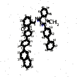 C=N/C(=N\C(=N/Cc1cccc2oc3cc(-c4ccc(-c5ccc6ccccc6c5)cc4)ccc3c12)c1ccccc1)c1ccc(-c2ccccc2)cc1